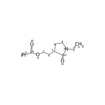 C=CN1CCC(CCOC(=O)C(C)C)C1=O